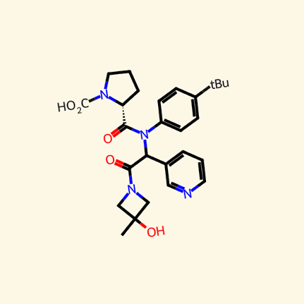 CC1(O)CN(C(=O)C(c2cccnc2)N(C(=O)[C@H]2CCCN2C(=O)O)c2ccc(C(C)(C)C)cc2)C1